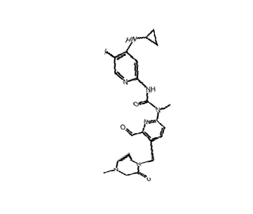 CN1CCN(Cc2ccc(N(C)C(=O)Nc3cc(NC4CC4)c(I)cn3)nc2C=O)C(=O)C1